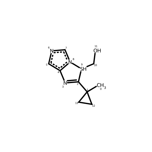 CC1(C2=Nc3cncn3[SH]2CO)CC1